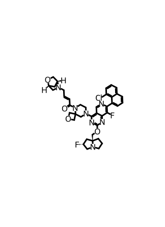 O=C(/C=C/CN1C[C@H]2C[C@@H]1CO2)N1CCN(c2nc(OC[C@@]34CCCN3C[C@H](F)C4)nc3c(F)c(-c4cccc5cccc(Cl)c45)ncc23)CC12COC2